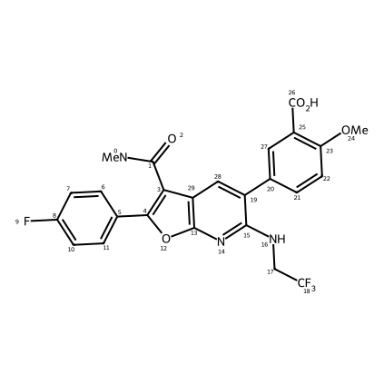 CNC(=O)c1c(-c2ccc(F)cc2)oc2nc(NCC(F)(F)F)c(-c3ccc(OC)c(C(=O)O)c3)cc12